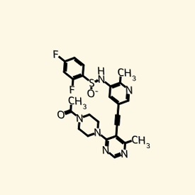 CC(=O)N1CCN(c2ncnc(C)c2C#Cc2cnc(C)c(N[S+]([O-])c3ccc(F)cc3F)c2)CC1